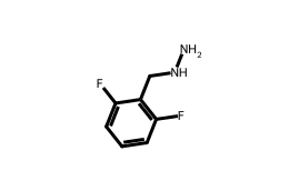 NNCc1c(F)cccc1F